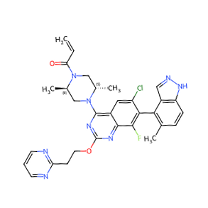 C=CC(=O)N1C[C@H](C)N(c2nc(OCCc3ncccn3)nc3c(F)c(-c4c(C)ccc5[nH]ncc45)c(Cl)cc23)C[C@H]1C